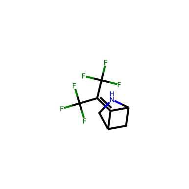 FC(F)(F)C(=C1C2CNC1C2)C(F)(F)F